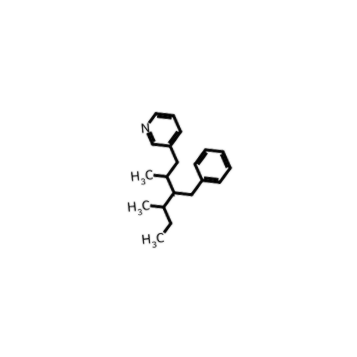 CCC(C)[C](Cc1ccccc1)C(C)Cc1cccnc1